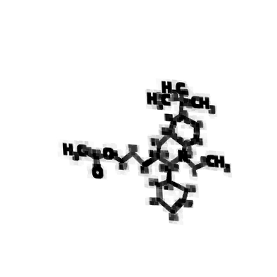 CCN1c2ccc(C(C)(C)C)cc2C[C@H](CCCOC(C)=O)[C@@H]1C1C=CC=CC1